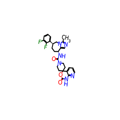 Cc1ncc2n1C[C@H](c1cccc(F)c1F)CC[C@H]2NC(=O)N1CCC2(CC1)OC(=O)Nc1ncccc12